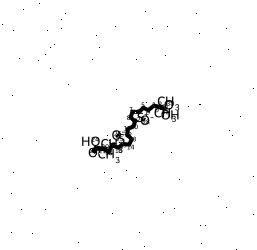 CC(C)(CCCC1CCC(CCC2CCC(CCCC(C)(C)C(=O)O)[S+]2[O-])[S+]1[O-])C(=O)O